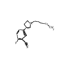 COCCN1CC[C@H](c2ccc(F)c(C#N)c2)C1